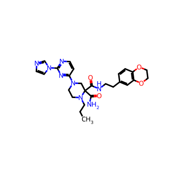 CCCN1CCN(c2ccnc(-n3ccnc3)n2)CC1(C(N)=O)C(=O)NCCc1ccc2c(c1)OCCO2